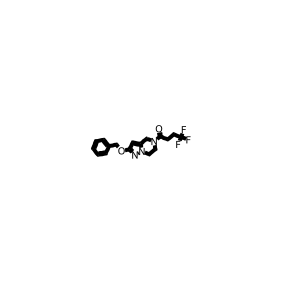 O=C(CCC(F)(F)F)N1CCn2nc(OCc3ccccc3)cc2C1